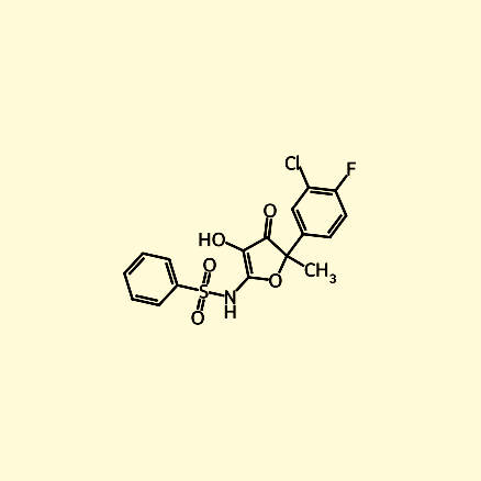 CC1(c2ccc(F)c(Cl)c2)OC(NS(=O)(=O)c2ccccc2)=C(O)C1=O